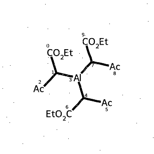 CCOC(=O)[CH](C(C)=O)[Al]([CH](C(C)=O)C(=O)OCC)[CH](C(C)=O)C(=O)OCC